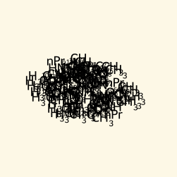 CCCC(NC1=NN(OC2CC(C)(C)N(C)C(C)(C)C2)NC(NCCN(CCN(CCNC2=CC(NC(CCC)C3CC(C)(C)N(C)C(C)(C)C3)=NN(OC3CC(C)(C)N(C)C(C)(C)C3)N2)C2=CC(NC(CCC)C3CC(C)(C)N(C)C(C)(C)C3)=NN(OC3CC(C)(C)N(C)C(C)(C)C3)N2)C2=CC(NC(CCC)C3CC(C)(C)N(C)C(C)(C)C3)=NN(OC3CC(C)(C)N(C)C(C)(C)C3)N2)=C1)C1CC(C)(C)N(C)C(C)(C)C1